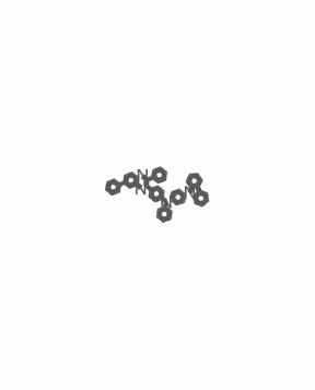 c1ccc(-c2ccc3nc(-c4ccccc4)c(-c4ccc(N(c5ccccc5)c5ccc(-n6c7ccccc7c7ccccc76)cc5)cc4)nc3c2)cc1